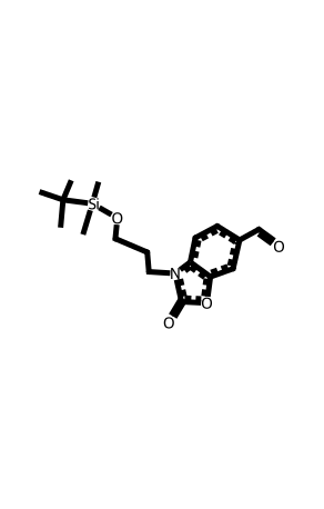 CC(C)(C)[Si](C)(C)OCCCn1c(=O)oc2cc(C=O)ccc21